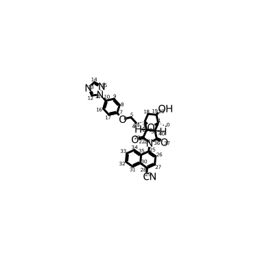 C[C@]12O[C@](CCOc3ccc(-n4cncn4)cc3)(CC1O)[C@H]1C(=O)N(c3ccc(C#N)c4ccccc34)C(=O)[C@H]12